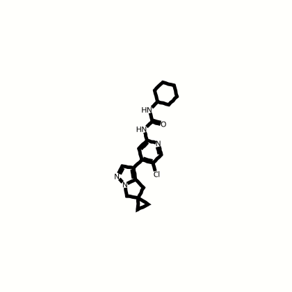 O=C(Nc1cc(-c2cnn3c2CC2(CC2)C3)c(Cl)cn1)NC1CCCCC1